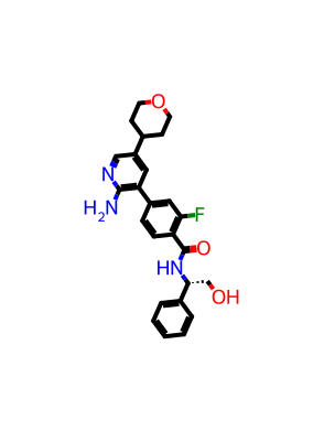 Nc1ncc(C2CCOCC2)cc1-c1ccc(C(=O)N[C@H](CO)c2ccccc2)c(F)c1